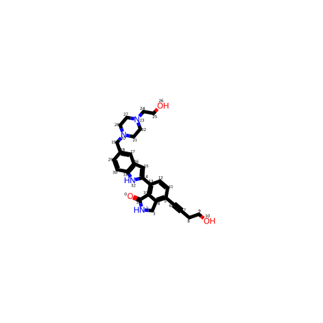 O=C1NCc2c(C#CCCO)ccc(-c3cc4cc(CN5CCN(CCO)CC5)ccc4[nH]3)c21